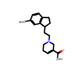 COC(=O)C1=CCCN(CCC2CCc3ccc(OC)cc32)C1